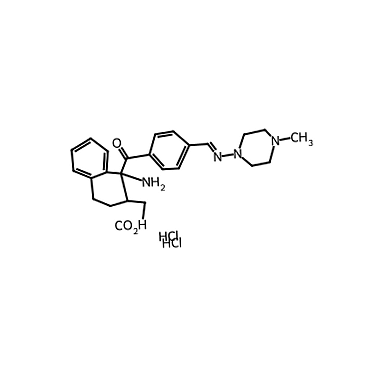 CN1CCN(N=Cc2ccc(C(=O)C3(N)c4ccccc4CCC3CC(=O)O)cc2)CC1.Cl.Cl